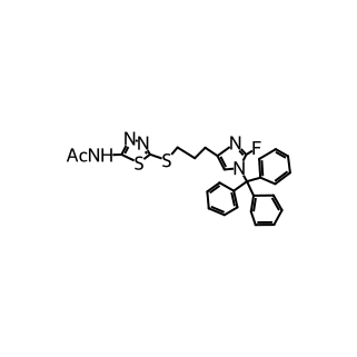 CC(=O)Nc1nnc(SCCCc2cn(C(c3ccccc3)(c3ccccc3)c3ccccc3)c(F)n2)s1